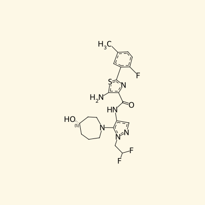 Cc1ccc(F)c(-c2nc(C(=O)Nc3cnn(CC(F)F)c3N3CCC[C@H](O)CC3)c(N)s2)c1